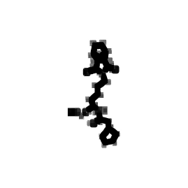 O=C(CC1CCCC1)NC(CCCCN1C(=O)C2C3C=CC(C3)C2C1=O)C(=O)O